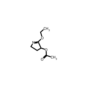 CCOC1=NCCC1OC(C)=O